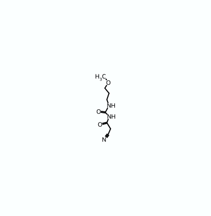 COCCCNC(=O)NC(=O)CC#N